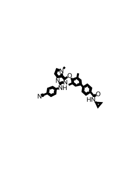 Cc1cc(-c2ccc(C(=O)NC3CC3)cc2)cc(C)c1Oc1nc(Nc2ccc(C#N)cc2)nc2ccn(C)c12